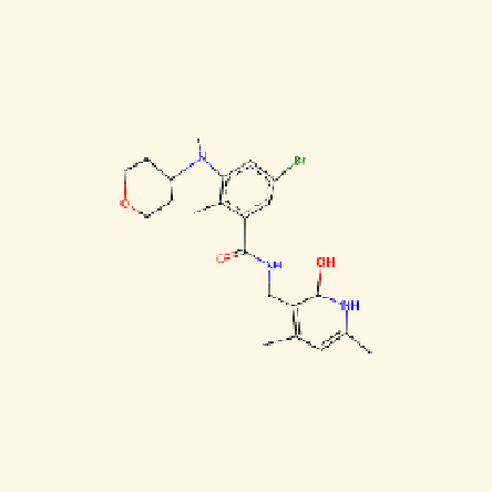 CC1=CC(C)=C(CNC(=O)c2cc(Br)cc(N(C)C3CCOCC3)c2C)C(O)N1